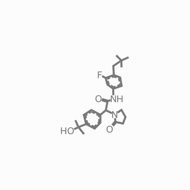 CC(C)(C)Cc1ccc(NC(=O)C(c2ccc(C(C)(C)O)cc2)N2CCCC2=O)cc1F